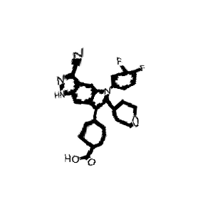 N#Cc1n[nH]c2cc3c(C4CCC(C(=O)O)CC4)c(C4CCOCC4)n(-c4ccc(F)c(F)c4)c3cc12